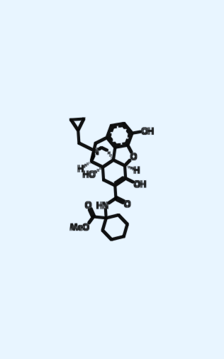 COC(=O)C1(NC(=O)C2=C(O)[C@@H]3Oc4c(O)ccc5c4[C@@]34CCN(CC3CC3)[C@H](C5)[C@]4(O)C2)CCCCC1